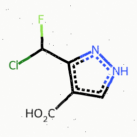 O=C(O)c1c[nH]nc1C(F)Cl